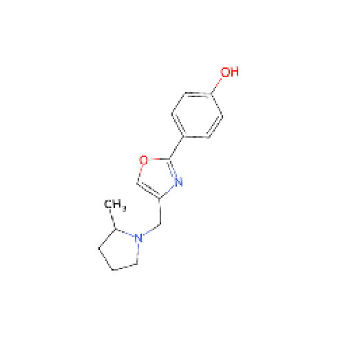 CC1CCCN1Cc1coc(-c2ccc(O)cc2)n1